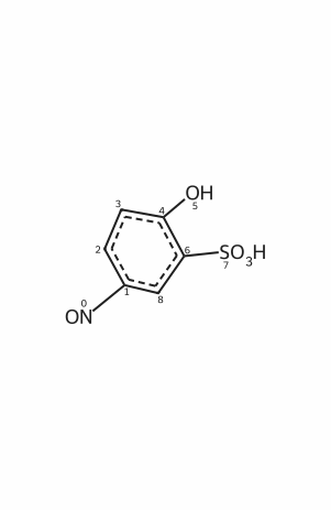 O=Nc1ccc(O)c(S(=O)(=O)O)c1